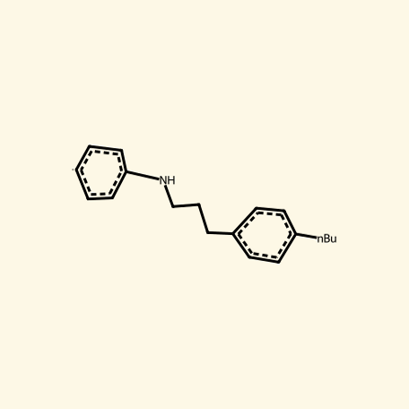 CCCCc1ccc(CCCNc2cc[c]cc2)cc1